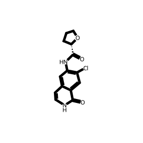 O=C(Nc1cc2cc[nH]c(=O)c2cc1Cl)[C@@H]1CCCO1